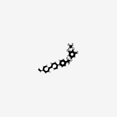 CC[C@H]1CC[C@H]([C@H]2CC[C@H](c3ccc(C(F)(F)Oc4cc(F)c(OC(F)(F)F)c(F)c4)cc3)CC2)CC1